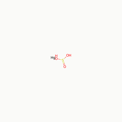 O=S(O)O.[Hg]